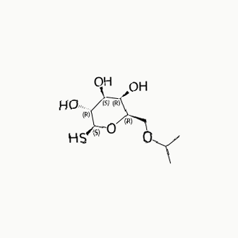 CC(C)OC[C@H]1O[C@@H](S)[C@H](O)[C@@H](O)[C@H]1O